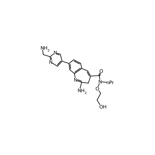 CCCN(OCCO)C(=O)C1=Cc2ccc(-c3cnc(CN)nc3)cc2N=C(N)C1